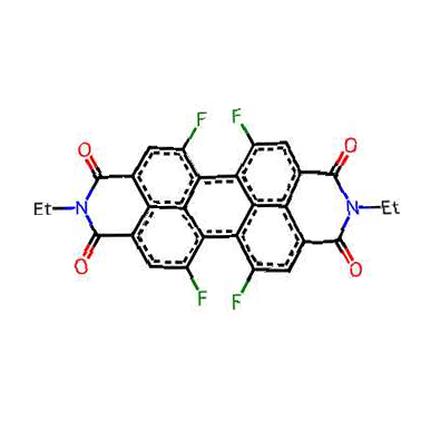 CCN1C(=O)c2cc(F)c3c4c(F)cc5c6c(cc(F)c(c7c(F)cc(c2c37)C1=O)c64)C(=O)N(CC)C5=O